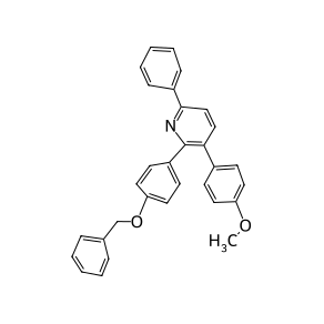 COc1ccc(-c2ccc(-c3ccccc3)nc2-c2ccc(OCc3ccccc3)cc2)cc1